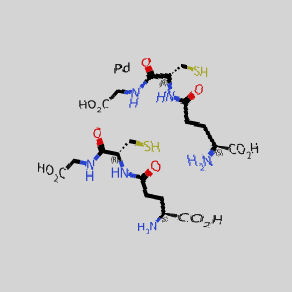 N[C@@H](CCC(=O)N[C@@H](CS)C(=O)NCC(=O)O)C(=O)O.N[C@@H](CCC(=O)N[C@@H](CS)C(=O)NCC(=O)O)C(=O)O.[Pd]